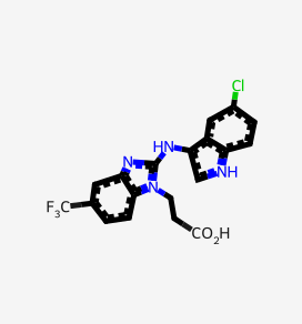 O=C(O)CCn1c(Nc2c[nH]c3ccc(Cl)cc23)nc2cc(C(F)(F)F)ccc21